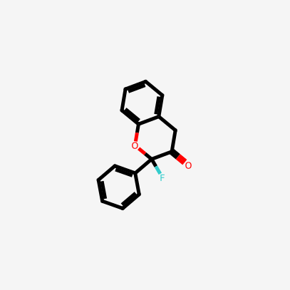 O=C1Cc2ccccc2OC1(F)c1ccccc1